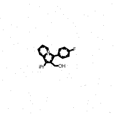 CC(C)c1c(CO)c(-c2ccc(F)cc2)n2ccccc12